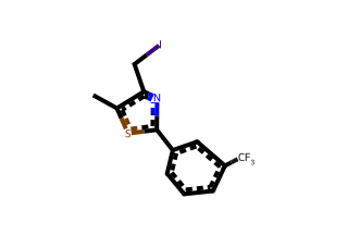 Cc1sc(-c2cccc(C(F)(F)F)c2)nc1CI